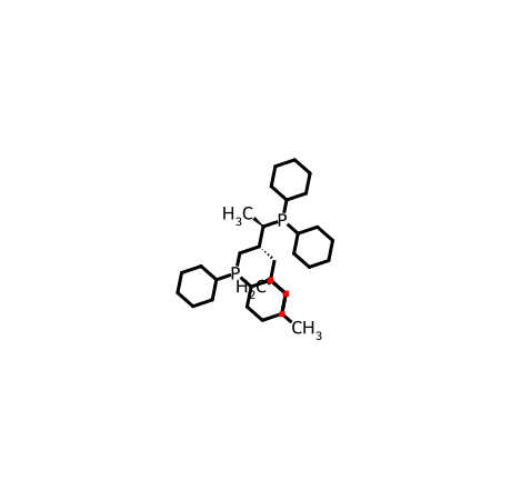 C=C(CCC)C[C@H](CP(C1CCCCC1)C1CCCCC1)[C@@H](C)P(C1CCCCC1)C1CCCCC1